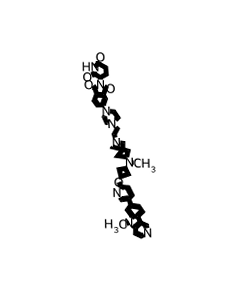 Cn1c2ccncc2c2ccc(-c3ccc(O[C@H]4C[C@H](N(C)C5CC6(C5)CN(CCN5CCN(c7ccc8c(c7)C(=O)N(C7CCC(=O)NC7=O)C8=O)CC5)C6)C4)nc3)cc21